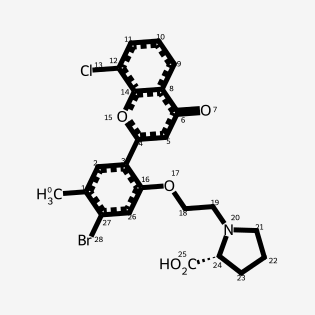 Cc1cc(-c2cc(=O)c3cccc(Cl)c3o2)c(OCCN2CCC[C@@H]2C(=O)O)cc1Br